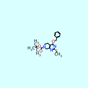 CSc1nc2c(c(OCc3ccccc3)n1)CCN(C(=O)OC(C)(C)C)C2